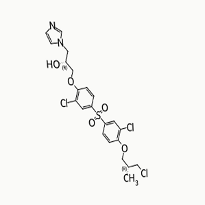 C[C@@H](CCl)COc1ccc(S(=O)(=O)c2ccc(OC[C@H](O)Cn3ccnc3)c(Cl)c2)cc1Cl